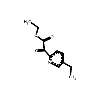 CCOC(=O)C(=O)c1ccc(CC)cn1